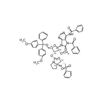 COc1ccc(C(OC[C@H]2O[C@@H](n3c(=O)n(C(=O)c4ccccc4)c4c(NC(=O)c5ccccc5)ncnc43)[C@H](OC)[C@@H]2O[P@]2O[C@H](CS(=O)(=O)c3ccccc3)[C@@H]3CCCN32)(c2ccccc2)c2ccc(OC)cc2)cc1